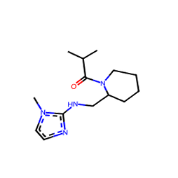 CC(C)C(=O)N1CCCCC1CNc1nccn1C